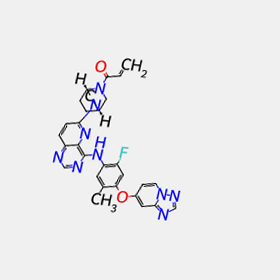 C=CC(=O)N1C[C@@H]2CC[C@H]1CN2c1ccc2ncnc(Nc3cc(C)c(Oc4ccn5ncnc5c4)cc3F)c2n1